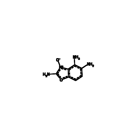 Nc1ccc2oc(N)[n+]([O-])c2c1N